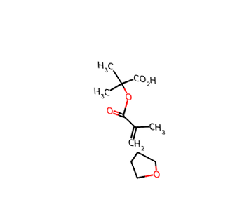 C1CCOC1.C=C(C)C(=O)OC(C)(C)C(=O)O